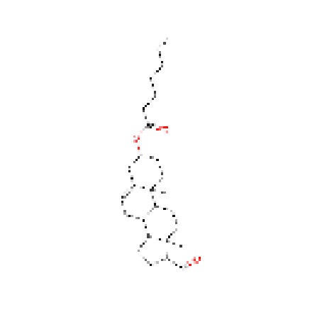 CCCCCCC(=O)OC1CCC2(C)C(=CCC3C2CCC2(C)C(C(C)=O)CCC32)C1